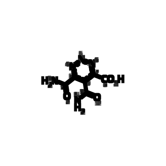 NC(=O)c1nnnc(C(=O)O)c1C(N)=O